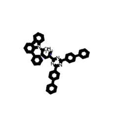 C=C(/C=C\C(=C/C)c1nc(-c2ccc(-c3ccccc3)cc2)nc(-c2ccc(-c3ccccc3)cc2)n1)n1c2ccccc2c2cccc(-c3ccccc3)c21